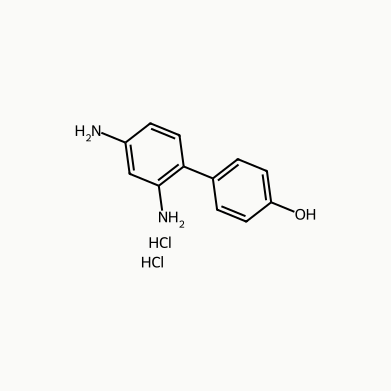 Cl.Cl.Nc1ccc(-c2ccc(O)cc2)c(N)c1